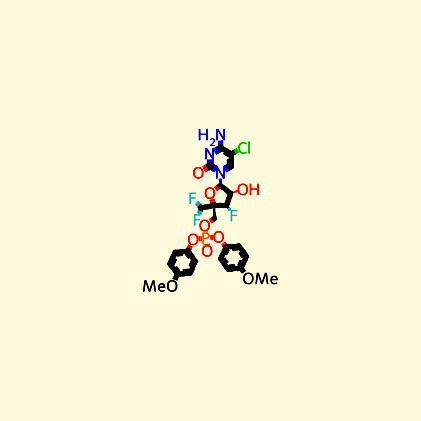 COc1ccc(OP(=O)(OC[C@@]2(C(F)F)O[C@@H](n3cc(Cl)c(N)nc3=O)[C@H](O)[C@H]2F)Oc2ccc(OC)cc2)cc1